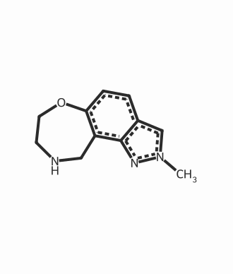 Cn1cc2ccc3c(c2n1)CNCCO3